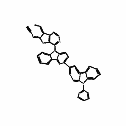 C#C/C=c1/sc2c(-n3c4ccccc4c4cc(-c5ccc6c(c5)c5ccccc5n6-c5ccccc5)ccc43)nccc2/c1=C/C